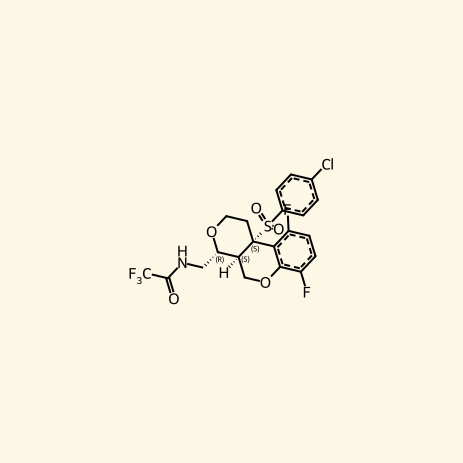 O=C(NC[C@@H]1OCC[C@@]2(S(=O)(=O)c3ccc(Cl)cc3)c3c(F)ccc(F)c3OC[C@@H]12)C(F)(F)F